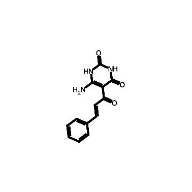 Nc1[nH]c(=O)[nH]c(=O)c1C(=O)C=Cc1ccccc1